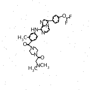 Cc1cc(Nc2nccn3c(-c4ccc(OC(F)F)cc4)cnc23)ccc1C(=O)N1CCN(C(=O)CN(C)C)CC1